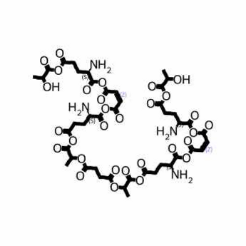 CC(O)C(=O)OC(=O)CC[C@H](N)C(=O)OC(=O)/C=C\C(=O)OC(=O)[C@@H](N)CCC(=O)OC(=O)C(C)OC(=O)CCC(=O)OC(C)C(=O)OC(=O)CC[C@H](N)C(=O)OC(=O)/C=C\C(=O)OC(=O)[C@@H](N)CCC(=O)OC(=O)C(C)O